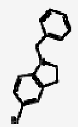 Brc1ccc2c(c1)CCN2Cc1ccccc1